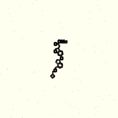 COC(=O)CC1COc2cc(O[C@H]3CCc4c(COCC5CCC5)cccc43)ccc21